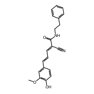 COc1cc(/C=C/C=C(\C#N)C(=O)NCCc2ccccc2)ccc1O